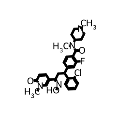 CN1CCC(N(C)C(=O)c2ccc(C(CC(=NO)c3ccc(=O)n(C)c3)c3ccccc3Cl)cc2F)CC1